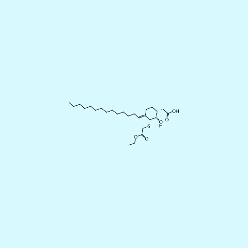 CCCCCCCCCCCCC/C=C1\CC[C@H](CC(=O)O)[C@@H](O)[C@@H]1SCC(=O)OCC